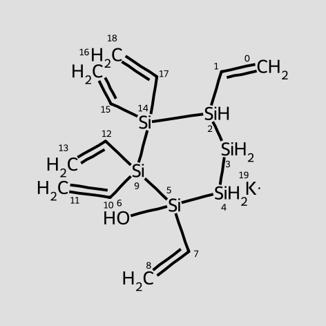 C=C[SiH]1[SiH2][SiH2][Si](O)(C=C)[Si](C=C)(C=C)[Si]1(C=C)C=C.[K]